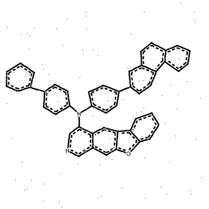 c1ccc(-c2ccc(N(c3ccc(-c4ccc5c(ccc6ccccc65)c4)cc3)c3cncc4cc5oc6ccccc6c5cc34)cc2)cc1